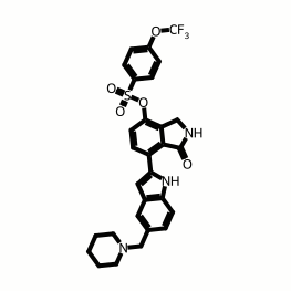 O=C1NCc2c(OS(=O)(=O)c3ccc(OC(F)(F)F)cc3)ccc(-c3cc4cc(CN5CCCCC5)ccc4[nH]3)c21